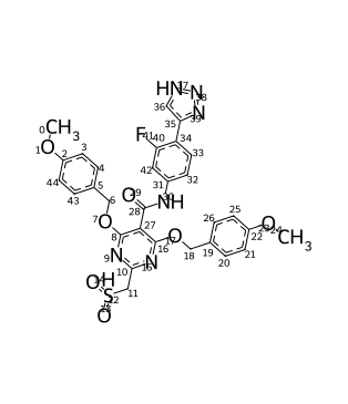 COc1ccc(COc2nc(C[SH](=O)=O)nc(OCc3ccc(OC)cc3)c2C(=O)Nc2ccc(-c3c[nH]nn3)c(F)c2)cc1